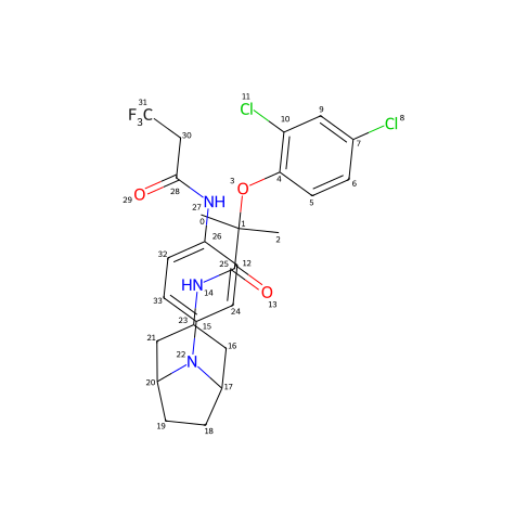 CC(C)(Oc1ccc(Cl)cc1Cl)C(=O)NC1CC2CCC(C1)N2c1ccc(NC(=O)CC(F)(F)F)cc1